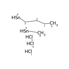 CCC[CH2][SnH].Cl.Cl.Cl.[CH3][SnH]